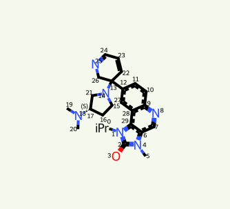 CC(C)n1c(=O)n(C)c2cnc3ccc(C4(N5CC[C@H](N(C)C)C5)C=CC=NC4)cc3c21